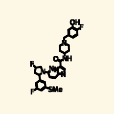 CSc1cc(F)cc(C2CC(F)CN2c2ccc3ncc(C(=O)NC4CCN(Cc5ccc(F)c(O)c5)CC4)n3n2)c1